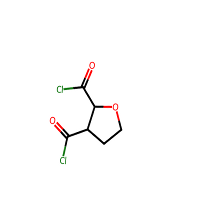 O=C(Cl)C1CCOC1C(=O)Cl